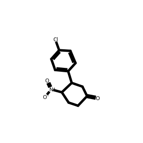 O=C1CCC([N+](=O)[O-])C(c2ccc(Cl)cc2)C1